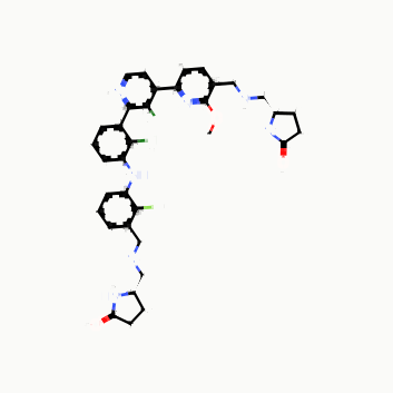 COc1nc(-c2ccnc(-c3cccc(Nc4cccc(CNC[C@H]5CCC(=O)N5)c4F)c3Cl)c2Cl)ccc1CNC[C@H]1CCC(=O)N1